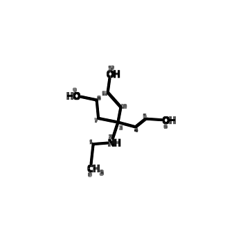 CCNC(CCO)(CCO)CCO